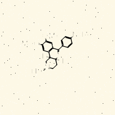 COc1cc2c(cc1OC)[C@H]1CN(C)CC[C@H]1N=C2c1ccc(NC(C)=O)cc1